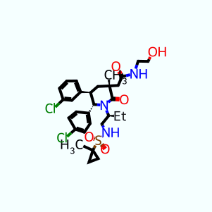 CC[C@@H](CNS(=O)(=O)C1(C)CC1)N1C(=O)[C@@](C)(CC(=O)NCCO)C[C@H](c2cccc(Cl)c2)[C@H]1c1ccc(Cl)cc1